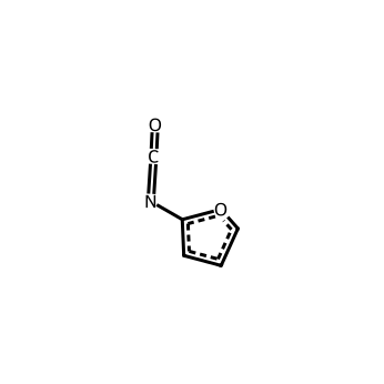 O=C=Nc1ccco1